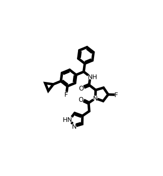 O=C(NC(c1ccccc1)c1ccc(C2CC2)c(F)c1)C1CC(F)CN1C(=O)Cc1cn[nH]c1